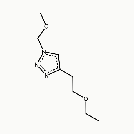 CCOCCc1cn(COC)nn1